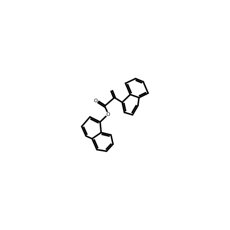 C=C(C(=O)Oc1cccc2ccccc12)c1cccc2ccccc12